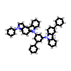 c1ccc(-c2cc(-n3c4ccccc4c4cc(-c5ccccc5)ccc43)cc(-n3c4ccccc4c4c5ccn(-c6ccccc6)c5ccc43)c2)cc1